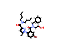 CCCCN(CCCC)C(=O)c1cc(C)n(-c2ccc(Br)cc2C(=O)N(CCO)Cc2ccccc2)n1